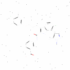 Cc1cc(OCCCc2c(C(=O)Nc3cccc(C(=O)O)c3)[nH]c3c(-c4c(C)nn(C)c4C)c(Cl)ccc23)cc(C)c1Cl